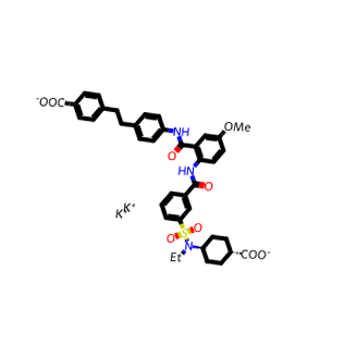 CCN([C@H]1CC[C@H](C(=O)[O-])CC1)S(=O)(=O)c1cccc(C(=O)Nc2ccc(OC)cc2C(=O)Nc2ccc(CCc3ccc(C(=O)[O-])cc3)cc2)c1.[K+].[K+]